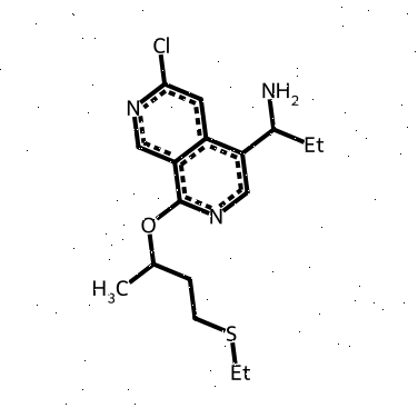 CCSCCC(C)Oc1ncc(C(N)CC)c2cc(Cl)ncc12